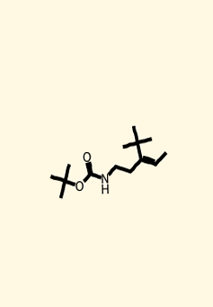 C/C=C(/CCNC(=O)OC(C)(C)C)C(C)(C)C